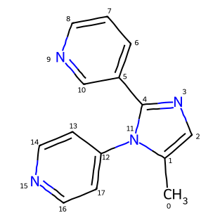 Cc1cnc(-c2cccnc2)n1-c1ccncc1